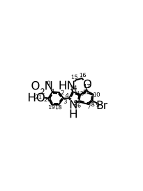 O=[N+]([O-])c1cc(-c2[nH]c3cc(Br)cc4c3c2NCCO4)ccc1O